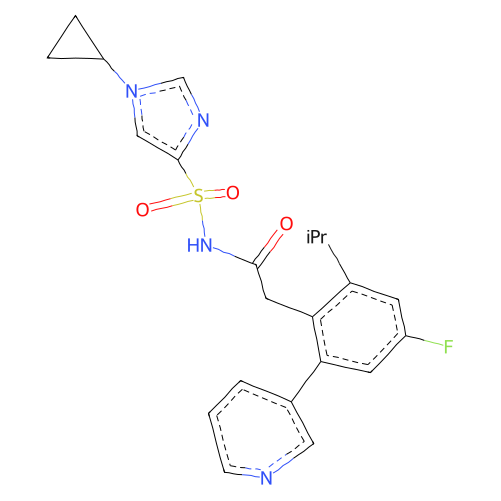 CC(C)c1cc(F)cc(-c2cccnc2)c1CC(=O)NS(=O)(=O)c1cn(C2CC2)cn1